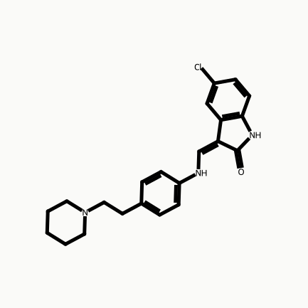 O=C1Nc2ccc(Cl)cc2/C1=C/Nc1ccc(CCN2CCCCC2)cc1